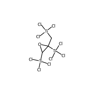 [Cl][Ti]([Cl])([Cl])[CH2][C]1([Ti]([Cl])([Cl])[Cl])O[CH]1[Ti]([Cl])([Cl])[Cl]